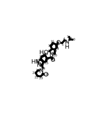 CC(C)NCCOC1=CC2CN(C(=O)c3cc4c(CN5CCCCC5=O)n[nH]c4cc3O)CC2C=C1